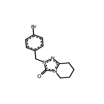 O=c1n(Cc2ccc(Br)cc2)nc2n1CCCC2